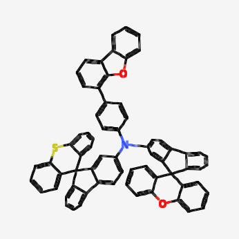 c1ccc2c(c1)Oc1ccccc1C21c2ccccc2-c2ccc(N(c3ccc(-c4cccc5c4oc4ccccc45)cc3)c3ccc4c(c3)C3(c5ccccc5Sc5ccccc53)c3ccccc3-4)cc21